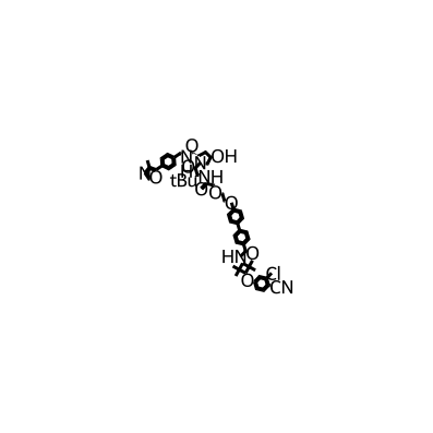 Cc1ncoc1-c1ccc(CNC(=O)[C@@H]2C[C@@H](O)CN2C(=O)[C@@H](NC(=O)COCCOc2ccc(-c3ccc(C(=O)NC4C(C)(C)C(Oc5ccc(C#N)c(Cl)c5)C4(C)C)cc3)cc2)C(C)(C)C)cc1